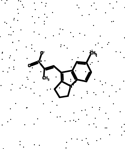 C/C(=C\c1c2n(c3ccc(C)cc13)CCC2)[N+](=O)[O-]